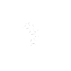 Cc1ccc(C2CCCc3c2ccc2c3ccc3ccccc32)cc1